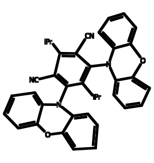 CC(C)c1c(C#N)c(N2c3ccccc3Oc3ccccc32)c(C(C)C)c(N2c3ccccc3Oc3ccccc32)c1C#N